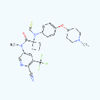 CN1CCC(Oc2ccc(N(C=S)C3(C(=O)N(C)c4cnc(C#N)c(C(F)(F)F)c4)CCC3)cc2)CC1